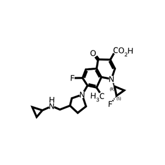 Cc1c(N2CCC(CNC3CC3)C2)c(F)cc2c(=O)c(C(=O)O)cn([C@@H]3C[C@@H]3F)c12